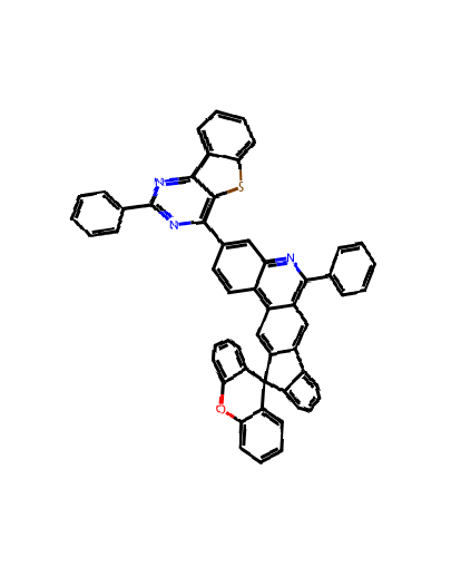 c1ccc(-c2nc(-c3ccc4c(c3)nc(-c3ccccc3)c3cc5c(cc34)C3(c4ccccc4Oc4ccccc43)c3ccccc3-5)c3sc4ccccc4c3n2)cc1